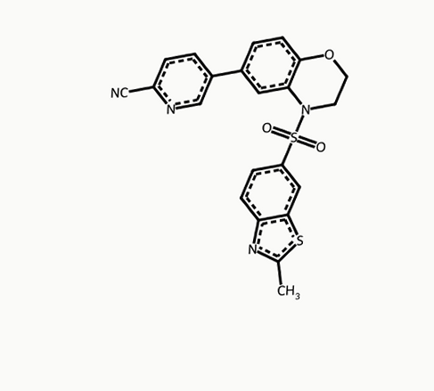 Cc1nc2ccc(S(=O)(=O)N3CCOc4ccc(-c5ccc(C#N)nc5)cc43)cc2s1